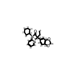 CCC(C)(C(=O)N(c1ccccn1)C1CCCCC1)c1ccc2c(c1)OCO2